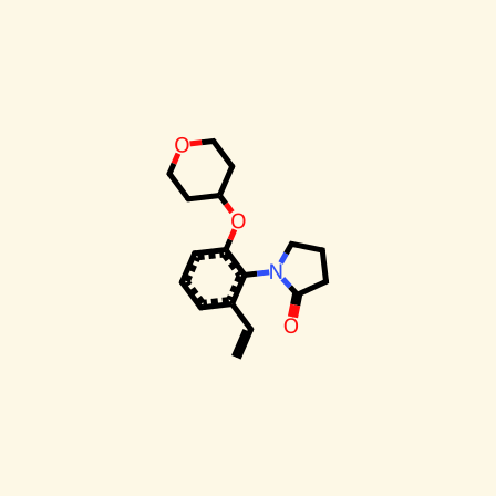 C=Cc1cccc(OC2CCOCC2)c1N1CCCC1=O